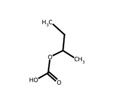 CCC(C)OC(=O)O